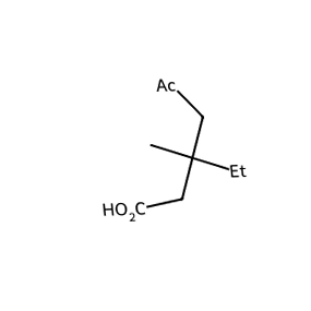 CCC(C)(CC(C)=O)CC(=O)O